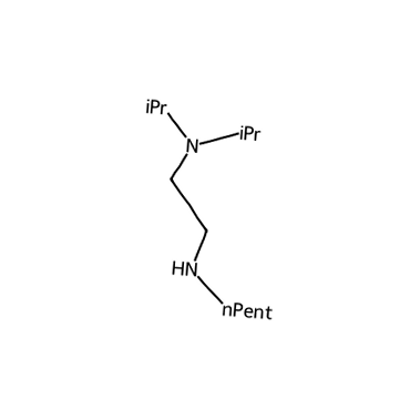 CCCCCNCCN(C(C)C)C(C)C